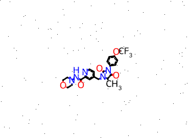 CC1C(=O)N(c2ccc(OC(F)(F)F)cc2)C(=O)N1Cc1ccnc(C(=O)NN2CCOCC2)c1